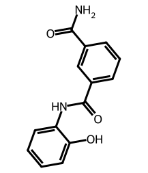 NC(=O)c1cccc(C(=O)Nc2ccccc2O)c1